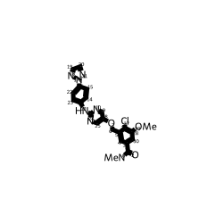 CNC(=O)c1cc(COc2cnc(Nc3ccc(-n4nccn4)cc3)nc2)c(Cl)c(OC)c1